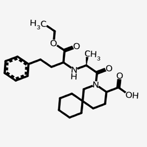 CCOC(=O)C(CCc1ccccc1)N[C@@H](C)C(=O)N1CC2(CCCCC2)CCC1C(=O)O